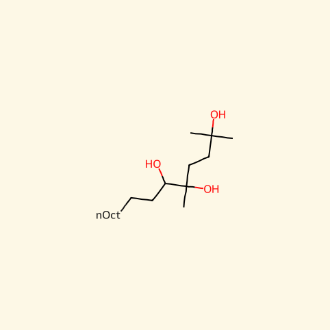 CCCCCCCCCCC(O)C(C)(O)CCC(C)(C)O